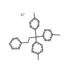 Cc1ccc([B-](CCc2ccccc2)(c2ccc(C)cc2)c2ccc(C)cc2)cc1.[Li+]